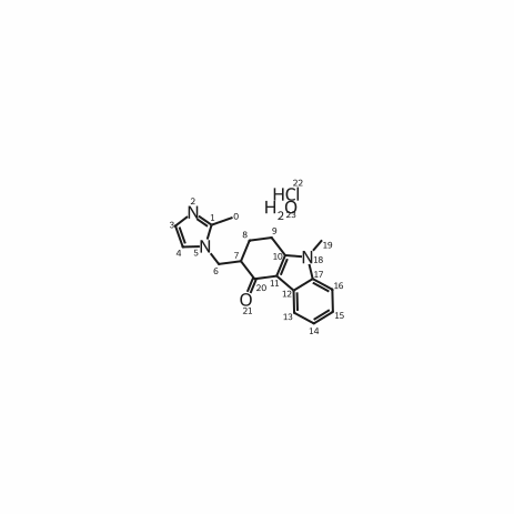 Cc1nccn1CC1CCc2c(c3ccccc3n2C)C1=O.Cl.O